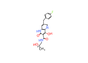 C[C@@H](O)CNC(=O)c1c(O)c2ncc(Cc3ccc(F)cc3)cc2[nH]c1=O